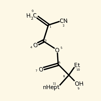 C=C(C#N)C(=O)OC(=O)C(O)(CC)CCCCCCC